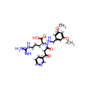 COc1cc(CNN(C(=O)CC(=O)c2cccnc2)[C@@H](CCCNC(=N)N)C(=O)O)cc(OC)c1